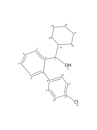 OC(c1ccccc1-c1ccc(Cl)cc1)C1CCCCC1